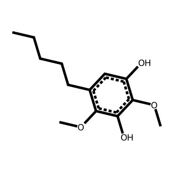 CCCCCc1cc(O)c(OC)c(O)c1OC